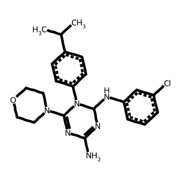 CC(C)c1ccc(N2C(N3CCOCC3)=NC(N)=NC2Nc2cccc(Cl)c2)cc1